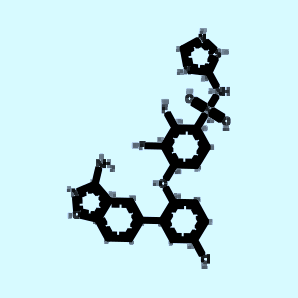 Nc1noc2ccc(-c3cc(Cl)ccc3Oc3ccc(S(=O)(=O)Nc4ncns4)c(F)c3F)cc12